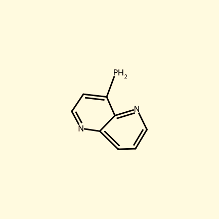 Pc1ccnc2cccnc12